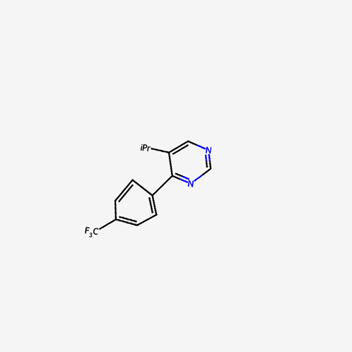 CC(C)c1cncnc1-c1ccc(C(F)(F)F)cc1